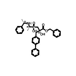 C[C@H](N[C@@H](C)P(=O)(O)C[C@](O)(Cc1ccc(-c2ccccc2)cc1)C(=O)OCc1ccccc1)c1ccccc1